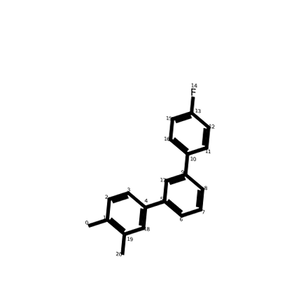 Cc1ccc(-c2cccc(-c3ccc(F)cc3)c2)cc1C